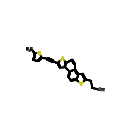 CCCCCCCCCCCCc1cc2c(ccc3c4cc(C#Cc5ccc(C)s5)sc4ccc23)s1